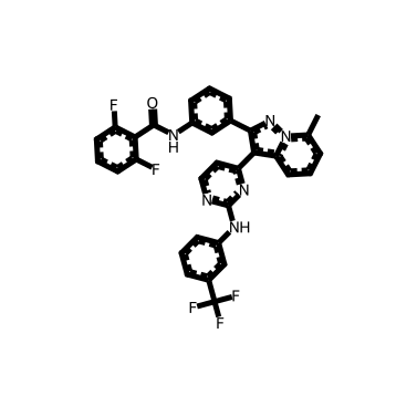 Cc1cccc2c(-c3ccnc(Nc4cccc(C(F)(F)F)c4)n3)c(-c3cccc(NC(=O)c4c(F)cccc4F)c3)nn12